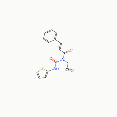 O=[C]CN(C(=O)/C=C/c1ccccc1)C(=O)Nc1cccs1